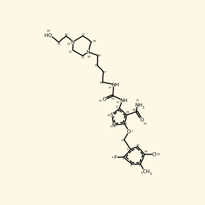 Cc1cc(F)c(COc2nsc(NC(=O)NCCCCN3CCN(CCO)CC3)c2C(N)=O)cc1Cl